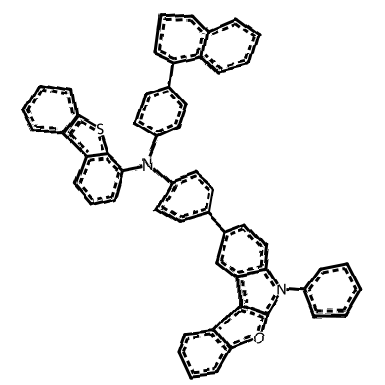 c1ccc(-n2c3ccc(-c4ccc(N(c5ccc(-c6cccc7ccccc67)cc5)c5cccc6c5sc5ccccc56)cc4)cc3c3c4ccccc4oc32)cc1